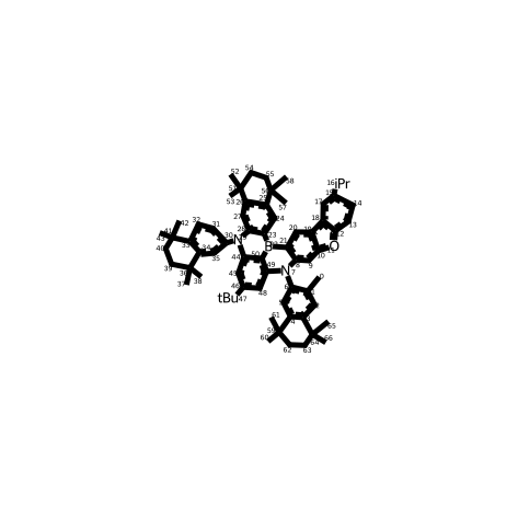 Cc1cc2c(cc1N1c3cc4oc5ccc(C(C)C)cc5c4cc3B3c4cc5c(cc4N(c4ccc6c(c4)C(C)(C)CCC6(C)C)c4cc(C(C)(C)C)cc1c43)C(C)(C)CCC5(C)C)C(C)(C)CCC2(C)C